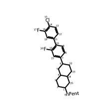 CCCCCC1CCC2CC(c3ccc(-c4ccc(Cl)c(F)c4)c(F)c3)CCC2C1